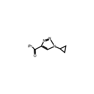 CC(C)C(=O)c1cn(C2CC2)nn1